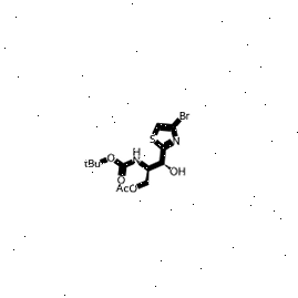 CC(=O)OC[C@@H](NC(=O)OC(C)(C)C)[C@@H](O)c1nc(Br)cs1